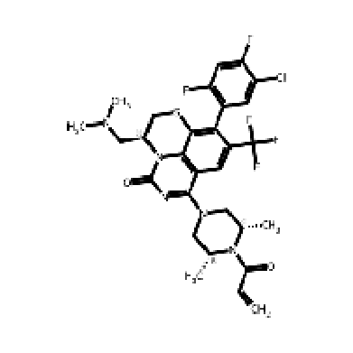 C=CC(=O)N1[C@H](C)CN(c2nc(=O)n3c4c(c(-c5cc(Cl)c(F)cc5F)c(C(F)(F)F)cc24)SC[C@@H]3CN(C)C)C[C@@H]1C